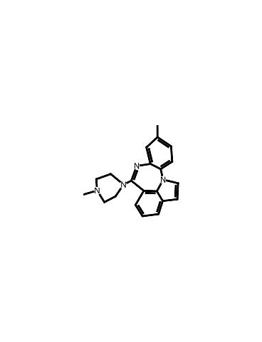 Cc1ccc2c(c1)N=C(N1CCN(C)CC1)c1cccc3ccn-2c13